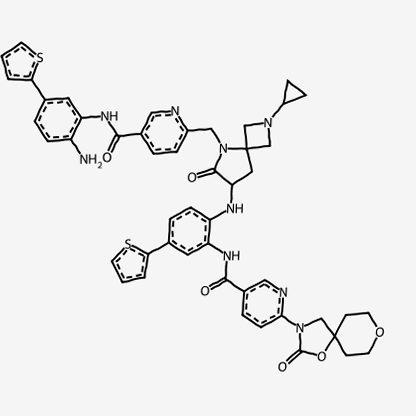 Nc1ccc(-c2cccs2)cc1NC(=O)c1ccc(CN2C(=O)C(Nc3ccc(-c4cccs4)cc3NC(=O)c3ccc(N4CC5(CCOCC5)OC4=O)nc3)CC23CN(C2CC2)C3)nc1